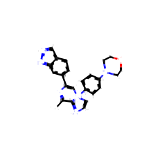 [AsH2]C1=NC(c2ccc3cn[nH]c3c2)=C[N+]2(c3ccc(N4CCOCC4)cc3)C=CN=C12